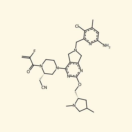 C=C(F)C(=O)N1CCN(c2nc(OC[C@@H]3CC(C)CN3C)nc3c2CN(Cc2nc(N)cc(C)c2Cl)C3)C[C@@H]1CC#N